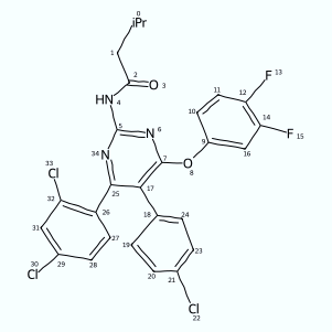 CC(C)CC(=O)Nc1nc(Oc2ccc(F)c(F)c2)c(-c2ccc(Cl)cc2)c(-c2ccc(Cl)cc2Cl)n1